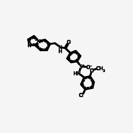 COc1ccc(Cl)cc1N[S+]([O-])c1ccc(C(=O)NCc2ccc3nccn3c2)cc1